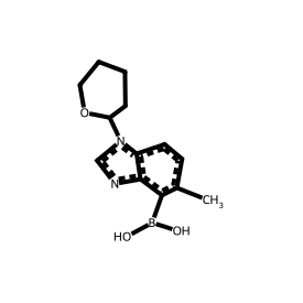 Cc1ccc2c(ncn2C2CCCCO2)c1B(O)O